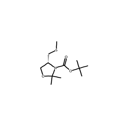 CSC[C@H]1COC(C)(C)N1C(=O)OC(C)(C)C